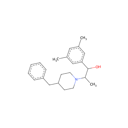 Cc1cc(C)cc(C(O)C(C)N2CCC(Cc3ccccc3)CC2)c1